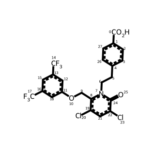 O=C(O)c1ccc(CCn2c(COc3cc(C(F)(F)F)cc(C(F)(F)F)c3)c(Cl)cc(Cl)c2=O)cc1